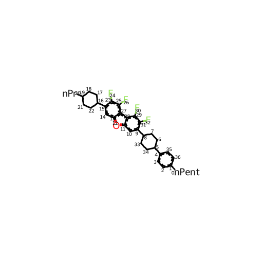 CCCCCc1ccc(C2CCC(c3cc4oc5cc(C6CCC(CCC)CC6)c(F)c(F)c5c4c(F)c3F)CC2)cc1